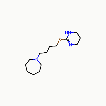 C1CCCN(CCCCSC2=NCCCN2)CC1